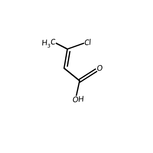 CC(Cl)=CC(=O)O